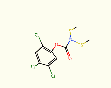 CSN(SC)C(=O)Oc1cc(Cl)c(Cl)cc1Cl